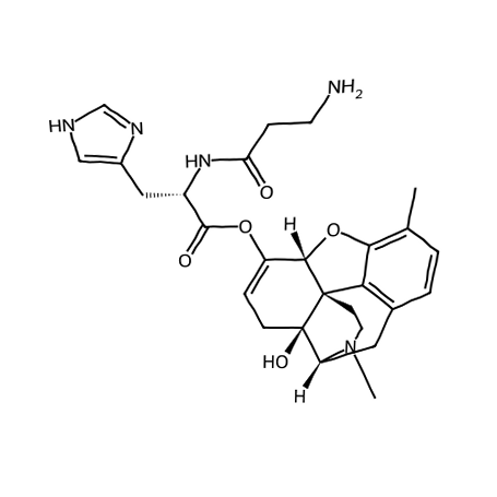 Cc1ccc2c3c1O[C@H]1C(OC(=O)[C@H](Cc4c[nH]cn4)NC(=O)CCN)=CC[C@@]4(O)[C@@H](C2)N(C)CC[C@]314